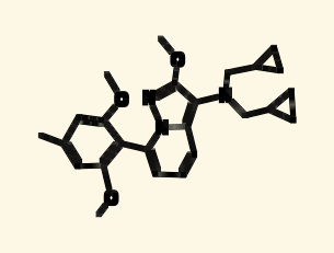 COc1cc(C)cc(OC)c1-c1cccc2c(N(CC3CC3)CC3CC3)c(OC)nn12